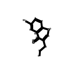 CCCc1coc2ccc(I)cc2c1=O